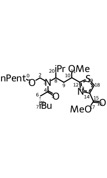 CCCCCOCN(C(=O)C[C@@H](C)CC)C(CC(OC)c1nc(C(=O)OC)cs1)C(C)C